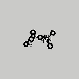 c1ccc(C2=NC(c3ccccc3)NC(c3ccc(-n4c5ccccc5c5cc6c(cc54)sc4ccccc46)cc3)N2)cc1